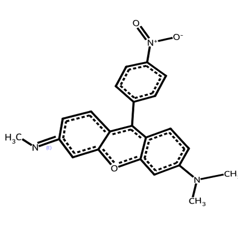 C/N=c1\ccc2c(-c3ccc([N+](=O)[O-])cc3)c3ccc(N(C)C)cc3oc-2c1